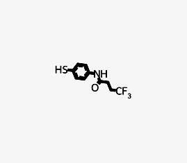 O=C(CCC(F)(F)F)Nc1ccc(S)cc1